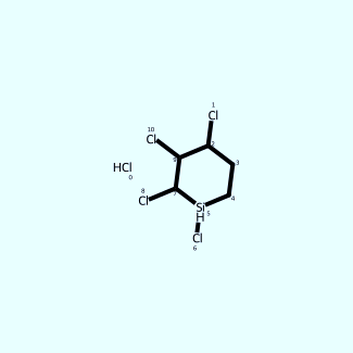 Cl.ClC1CC[SiH](Cl)C(Cl)C1Cl